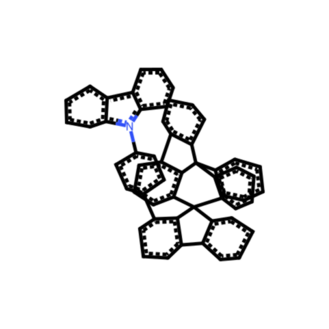 c1ccc(C23c4ccccc4-c4cccc(c42)C2(c4ccccc4-c4cccc(-c5ccc(-n6c7ccccc7c7ccccc76)cc5)c42)c2ccccc23)cc1